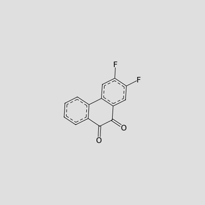 O=C1C(=O)c2cc(F)c(F)cc2-c2ccccc21